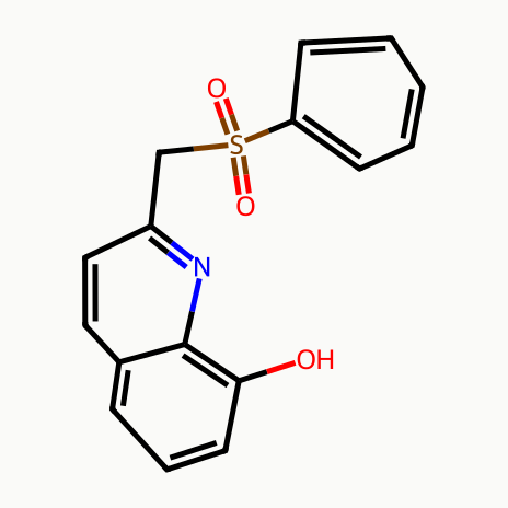 O=S(=O)(Cc1ccc2cccc(O)c2n1)c1ccccc1